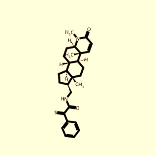 CN1C(=O)C=C[C@]2(C)[C@H]3CC[C@]4(C)[C@@H](CNC(=O)C(=S)c5ccccc5)CC[C@H]4[C@@H]3CC[C@@H]12